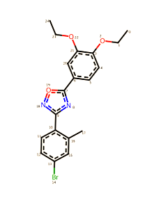 CCOc1ccc(-c2nc(-c3ccc(Br)cc3C)no2)cc1OCC